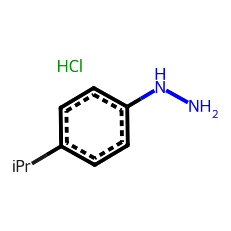 CC(C)c1ccc(NN)cc1.Cl